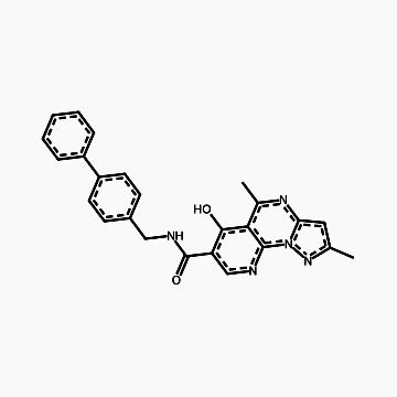 Cc1cc2nc(C)c3c(O)c(C(=O)NCc4ccc(-c5ccccc5)cc4)cnc3n2n1